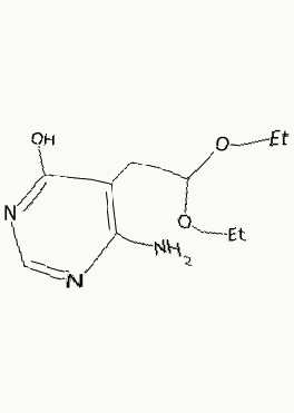 CCOC(Cc1c(N)ncnc1O)OCC